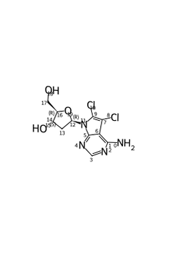 Nc1ncnc2c1c(Cl)c(Cl)n2[C@H]1C[C@H](O)[C@@H](CO)O1